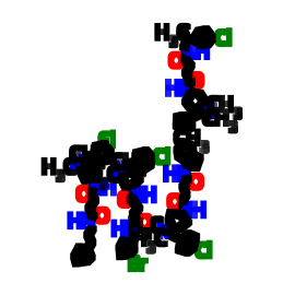 CN(C)C1(Cc2ccc(Cl)cc2)CCC(NC(=O)CCC(=O)NC2CCc3ccccc32)CC1.CN(C)C1(Cc2ccc(Cl)cc2)CCC(NC(=O)CCC(=O)NCc2cccc(Br)c2)CC1.CN(C)C1(Cc2cccc(Cl)c2)CCC(NC(=O)CCC(=O)NCCCc2ccccc2)CC1.Cc1cccc(CC2(N(C)C)CCC(NC(=O)CCC(=O)NCC(C)c3ccc(Cl)cc3)CC2)c1